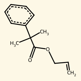 C=CCOC(=O)C(C)(C)c1ccccc1